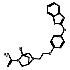 NC(=O)N1CC2C[C@H]1CN2CCOc1ccc(Oc2nc3ccccc3s2)cc1